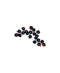 Cc1cccc(N(c2ccc3c4c5ccc6c(c5ccc4n(-c4ccccc4)c3c2)c2ccc(N(c3ccc4c5c7ccc8c(c7ccc5n(-c5ccccc5)c4c3)c3ccc(N(c4cccc(C)c4)c4cccc5c4oc4ccccc45)cc3n8-c3ccccc3)c3cccc4c3oc3ccccc34)cc2n6-c2ccccc2)c2cccc3c2oc2ccccc23)c1